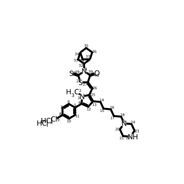 Cl.Cl.Cn1c(-c2ccc(Cl)cc2)cc(CCCCCN2CCNCC2)c1C=C1SC(=S)N(C2CC3CCC2C3)C1=O